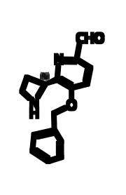 O=Cc1ccc(OCc2ccccc2)c([C@@H]2CCN2)n1